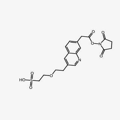 O=C(Cc1ccc2cc(CCOCCS(=O)(=O)O)cnc2c1)ON1C(=O)CCC1=O